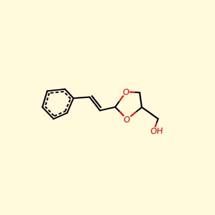 OCC1COC(C=Cc2ccccc2)O1